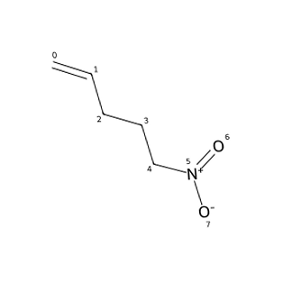 C=CCCC[N+](=O)[O-]